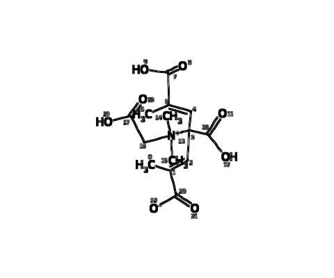 CC(=CC(C=C(C)C(=O)O)(C(=O)O)[N+](C)(C)CC(=O)O)C(=O)[O-]